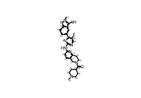 CC(C)c1c2cc(-c3nc(Nc4ccc5c(n4)CCN(C(=O)C4CCN(C)CC4)C5)ncc3F)ccc2nn1C